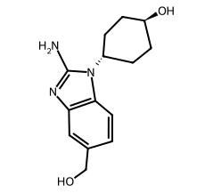 Nc1nc2cc(CO)ccc2n1[C@H]1CC[C@H](O)CC1